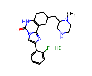 CN1CCNCC1CC1CCc2[nH]c(=O)n3cc(-c4ccccc4F)nc3c2C1.Cl